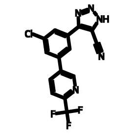 N#Cc1[nH]nnc1-c1cc(Cl)cc(-c2ccc(C(F)(F)F)nc2)c1